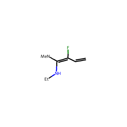 C=C/C(F)=C(/NC)NCC